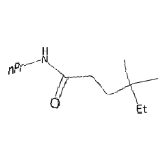 CCCNC(=O)CCC(C)(C)CC